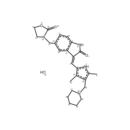 Cc1[nH]c(C=C2C(=O)Nc3ccc(CN4CCOC4=O)cc32)c(C)c1CN1CCCCC1.Cl